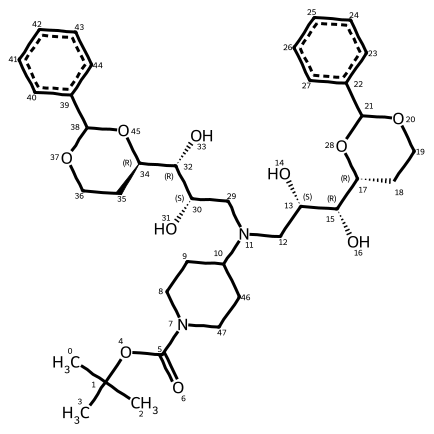 CC(C)(C)OC(=O)N1CCC(N(C[C@H](O)[C@@H](O)[C@H]2CCOC(c3ccccc3)O2)C[C@H](O)[C@@H](O)[C@H]2CCOC(c3ccccc3)O2)CC1